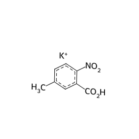 Cc1ccc([N+](=O)[O-])c(C(=O)O)c1.[K+]